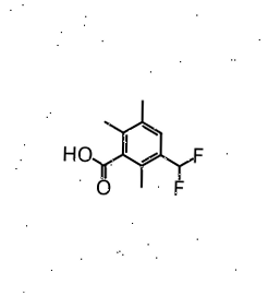 Cc1cc(C(F)F)c(C)c(C(=O)O)c1C